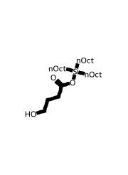 CCCCCCCC[Si](CCCCCCCC)(CCCCCCCC)OC(=O)CCCO